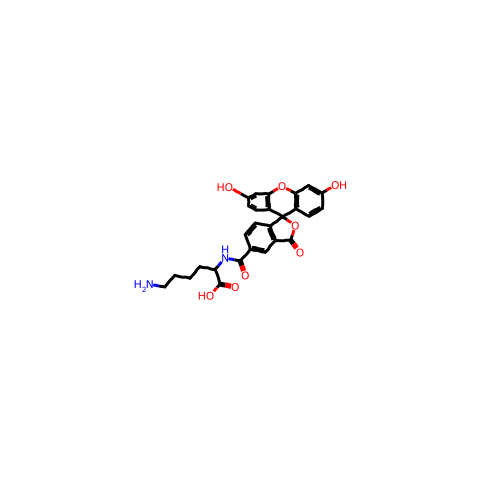 NCCCCC(NC(=O)c1ccc2c(c1)C(=O)OC21c2ccc(O)cc2Oc2cc(O)ccc21)C(=O)O